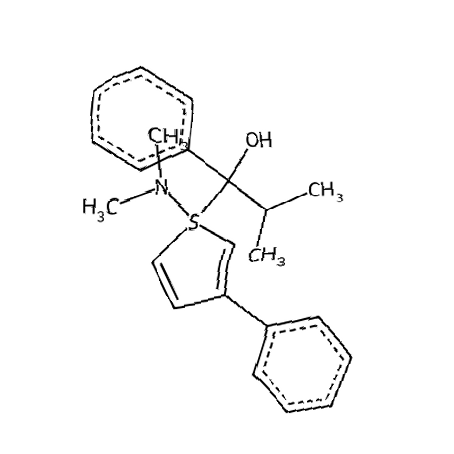 CC(C)C(O)(c1ccccc1)S1(N(C)C)C=CC(c2ccccc2)=C1